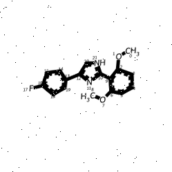 COc1cccc(OC)c1-c1nc(-c2ccc(F)cc2)c[nH]1